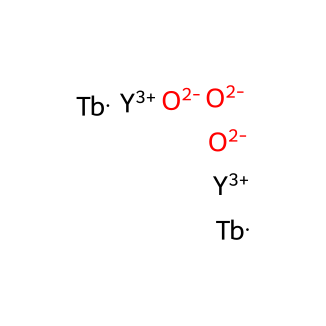 [O-2].[O-2].[O-2].[Tb].[Tb].[Y+3].[Y+3]